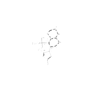 CC1=CC(c2ccc3ccccc3c2C(C)(C)O)C(C)=C1